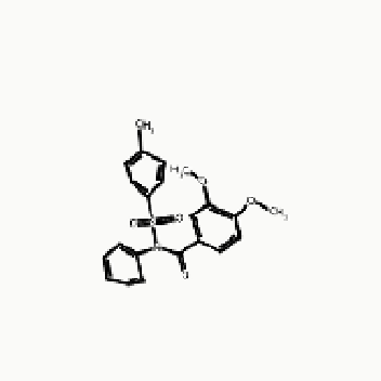 COc1ccc(C(=O)N(c2ccccc2)S(=O)(=O)c2ccc(C)cc2)cc1OC